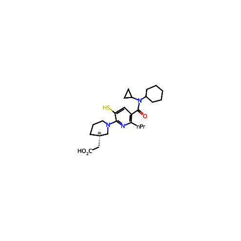 CCCc1nc(N2CCC[C@@H](CC(=O)O)C2)c(S)cc1C(=O)N(C1CCCCC1)C1CC1